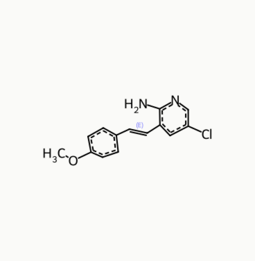 COc1ccc(/C=C/c2cc(Cl)cnc2N)cc1